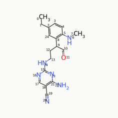 CCc1ccc(NC)c(C(C=O)CCNc2ncc(C#N)c(N)n2)c1